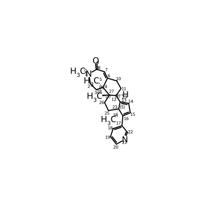 CN1CC[C@@]2(C)C(=CC1=O)CC[C@H]1C3=CC=C(c4cccnc4)[C@@]3(C)CC[C@@]12C